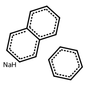 [NaH].c1ccc2ccccc2c1.c1ccccc1